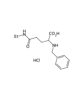 CCNC(=O)CCC(NCc1ccccc1)C(=O)O.Cl